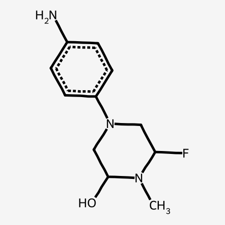 CN1C(O)CN(c2ccc(N)cc2)CC1F